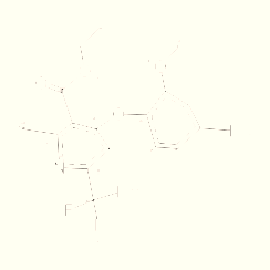 CCOC(=O)c1c(Oc2ccc(F)cc2OC)cc(C(F)(F)F)nc1C